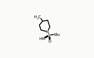 CC1CCN(S(=N)(=O)C(C)(C)C)CC1